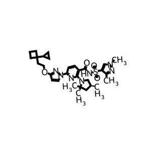 Cc1nn(C)cc1S(=O)(=O)NC(=O)c1ccc(-n2ccc(OCCC3(C4CC4)CCC3)n2)nc1N1C[C@@H](C)CC1(C)C